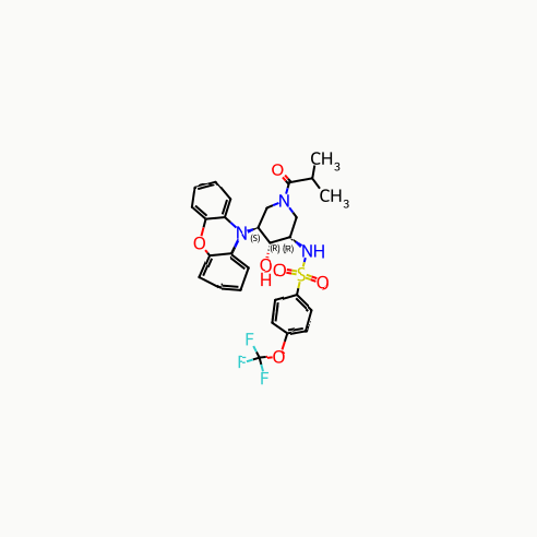 CC(C)C(=O)N1C[C@@H](NS(=O)(=O)c2ccc(OC(F)(F)F)cc2)[C@H](O)[C@@H](N2c3ccccc3Oc3ccccc32)C1